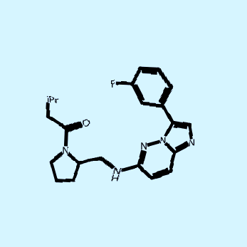 CC(C)CC(=O)N1CCCC1CNc1ccc2ncc(-c3cccc(F)c3)n2n1